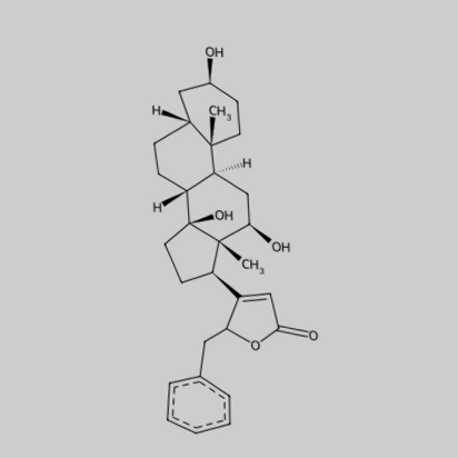 C[C@]12CC[C@H](O)C[C@H]1CC[C@@H]1[C@@H]2C[C@@H](O)[C@]2(C)[C@@H](C3=CC(=O)OC3Cc3ccccc3)CC[C@]12O